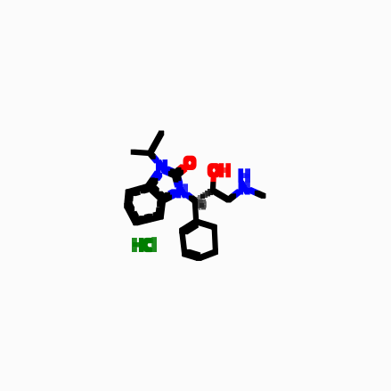 CNCC(O)[C@H](C1=CC=CCC1)n1c(=O)n(C(C)C)c2ccccc21.Cl